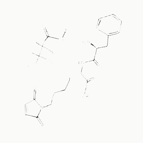 CC(C)(C)C(F)(F)C(=O)OF.N[C@@H](Cc1ccccc1)C(=O)N[C@@H](CCCCN1C(=O)C=CC1=O)C(=O)O